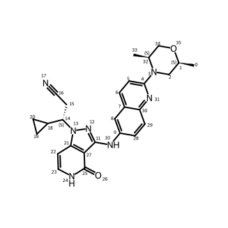 C[C@H]1CN(c2ccc3cc(Nc4nn([C@@H](CC#N)C5CC5)c5cc[nH]c(=O)c45)ccc3n2)[C@@H](C)CO1